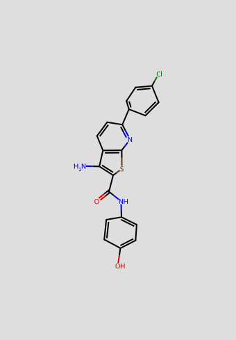 Nc1c(C(=O)Nc2ccc(O)cc2)sc2nc(-c3ccc(Cl)cc3)ccc12